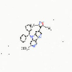 CCOC(=O)c1cc2c(cn1)c1ncc(-c3c(C)noc3C)cc1n2C(c1ccccc1)c1ccccc1